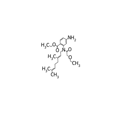 CCOCC(=O)N(C/C=C(\C)CCC=C(C)C)c1cc(N)ccc1C(=O)OCC